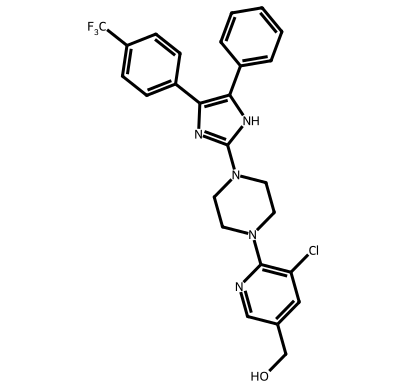 OCc1cnc(N2CCN(c3nc(-c4ccc(C(F)(F)F)cc4)c(-c4ccccc4)[nH]3)CC2)c(Cl)c1